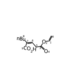 C=COC(=O)CC=C(CCCC)C(=O)O